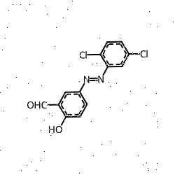 O=Cc1cc(/N=N/c2cc(Cl)ccc2Cl)ccc1O